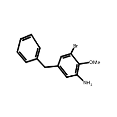 COc1c(N)cc(Cc2ccccc2)cc1Br